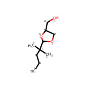 CC(C)(CCC#N)C1OCC(CO)O1